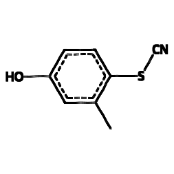 Cc1cc(O)ccc1SC#N